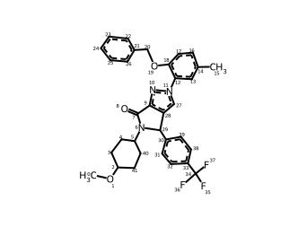 COC1CCC(N2C(=O)c3nn(-c4cc(C)ccc4OCc4ccccc4)cc3C2c2ccc(C(F)(F)F)cc2)CC1